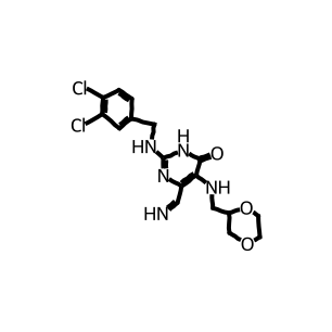 N=Cc1nc(NCc2ccc(Cl)c(Cl)c2)[nH]c(=O)c1NCC1COCCO1